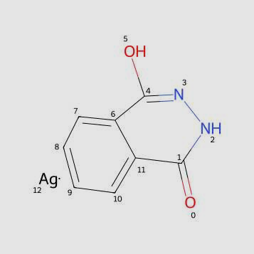 O=c1[nH]nc(O)c2ccccc12.[Ag]